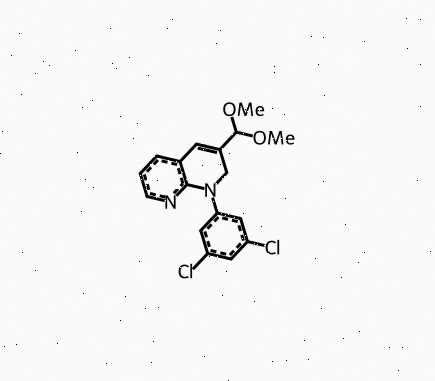 COC(OC)C1=Cc2cccnc2N(c2cc(Cl)cc(Cl)c2)C1